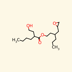 CCCCC(CCO)C(=O)OCCC(CCC)CC1CO1